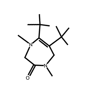 CN1CC(C(C)(C)C)=C(C(C)(C)C)N(C)CC1=O